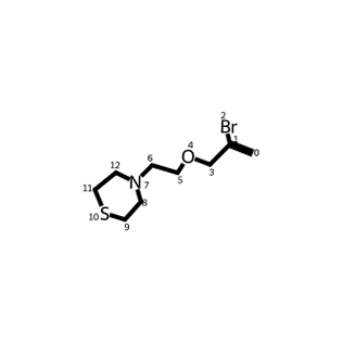 C=C(Br)COCCN1CCSCC1